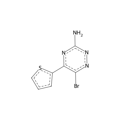 Nc1nnc(Br)c(-c2cccs2)n1